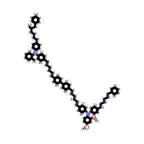 COc1ccc(N(c2ccc(/C=C/C=C/C=C/c3ccccc3)cc2)c2ccc(/C=C/C=C/C=C/c3ccc(-c4ccc(/C=C/C=C/C=C/c5ccc(N(c6ccc(/C=C/C=C/C(C)Cc7ccccc7)cc6)c6ccccc6C)cc5)cc4)cc3)cc2)c(OC)c1